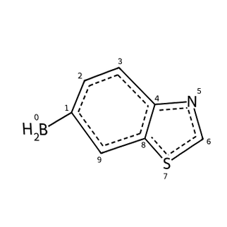 Bc1ccc2ncsc2c1